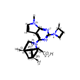 C[C@H]1CCN1c1nc(N2C[C@H]3C[C@@H](C2)[C@@H]3CC(=O)O)c2ccn(C)c2n1